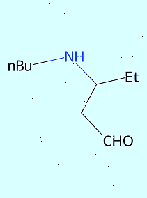 CCCCNC(CC)CC=O